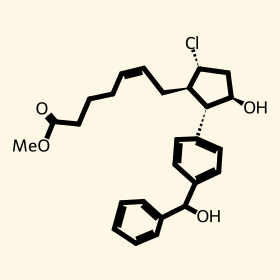 COC(=O)CCC/C=C\C[C@@H]1[C@@H](c2ccc(C(O)c3ccccc3)cc2)[C@H](O)C[C@H]1Cl